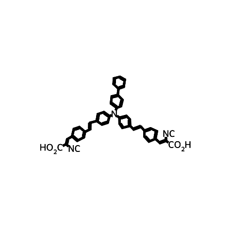 [C-]#[N+]/C(=C\c1ccc(/C=C/c2ccc(N(c3ccc(/C=C/c4ccc(/C=C(\[N+]#[C-])C(=O)O)cc4)cc3)c3ccc(-c4ccccc4)cc3)cc2)cc1)C(=O)O